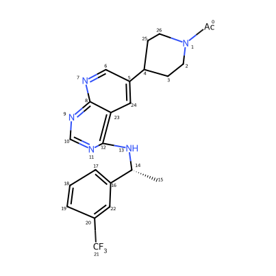 CC(=O)N1CCC(c2cnc3ncnc(N[C@H](C)c4cccc(C(F)(F)F)c4)c3c2)CC1